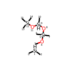 C[SiH](C)CO[Si](C)(C)O[SiH](C)O[Si](C)(C)C